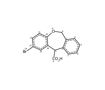 O=C(O)C1c2ccccc2COc2ccc(Br)cc21